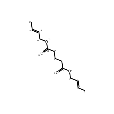 CC=CCOC(=O)CCCC(=O)OCC=CC